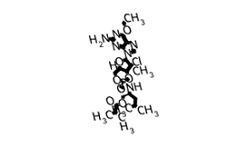 CCOc1nc(N)nc2c1ncn2[C@@H]1O[C@@H]2CO[P@@](=O)(N[C@H](COC(=O)C(C)C)CC(C)C)OC2[C@@]1(C)Cl